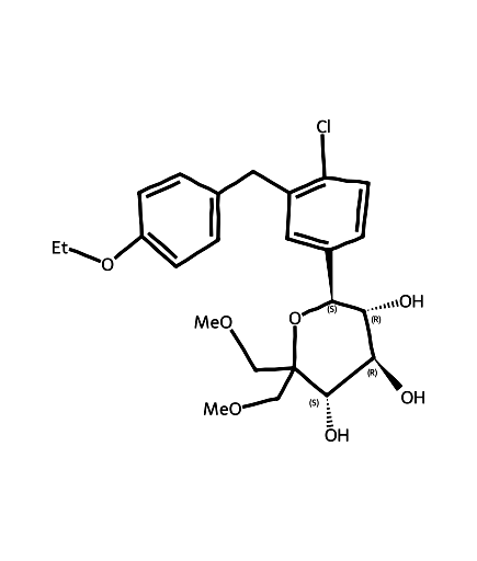 CCOc1ccc(Cc2cc([C@@H]3OC(COC)(COC)[C@@H](O)[C@H](O)[C@H]3O)ccc2Cl)cc1